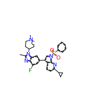 Cc1nc2c(F)cc(-c3cn(S(=O)(=O)c4ccccc4)c4nc(C5CC5)ccc34)cc2n1C1CCN(C)CC1